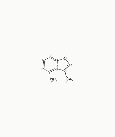 CC(=O)Oc1coc2ccccc12.N